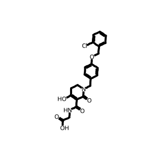 O=C(O)CNC(=O)C1=C(O)CCN(Cc2ccc(OCc3ccccc3Cl)cc2)C1=O